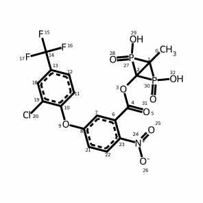 CC12C(OC(=O)c3cc(Oc4ccc(C(F)(F)F)cc4Cl)ccc3[N+](=O)[O-])(P1(=O)O)P2(=O)O